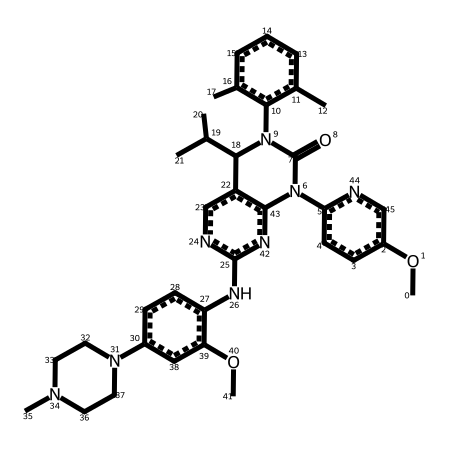 COc1ccc(N2C(=O)N(c3c(C)cccc3C)C(C(C)C)c3cnc(Nc4ccc(N5CCN(C)CC5)cc4OC)nc32)nc1